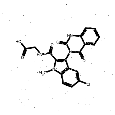 Cn1c(C(=O)NCC(=O)O)c(-n2c(=O)[nH]c3ccccc3c2=O)c2cc(Cl)ccc21